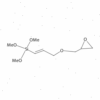 CO[Si](C=CCOCC1CO1)(OC)OC